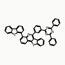 c1ccc(-c2nc(-c3ccccc3)nc(-c3cccc(-c4nc5c(-c6cccc7c6sc6ccccc67)cccc5c5sc6ccccc6c45)c3)n2)cc1